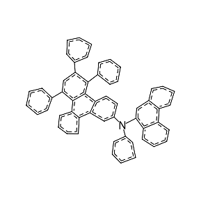 c1ccc(-c2cc(-c3ccccc3)c3c4ccccc4c4cc(N(c5ccccc5)c5cc6ccccc6c6ccccc56)ccc4c3c2-c2ccccc2)cc1